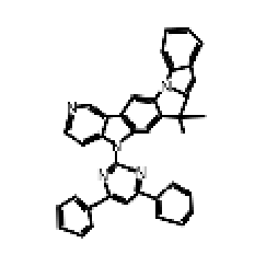 CC1(C)c2cc3c(cc2-n2c1cc1ccccc12)c1cnccc1n3-c1nc(-c2ccccc2)cc(-c2ccccc2)n1